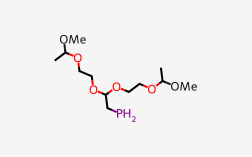 COC(C)OCCOC(CP)OCCOC(C)OC